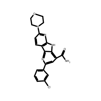 NC(=O)c1cc(-c2cccc(Cl)c2)nc2c1[nH]c1nc(N3CCOCC3)ccc12